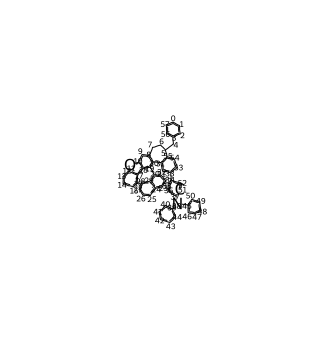 c1ccc(CC2CCc3cc4oc5ccccc5c4c(-c4cccc5ccccc45)c3-c3cc(-c4ccc(N(c5ccccc5)c5ccccc5)cc4)ccc32)cc1